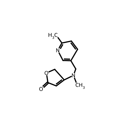 Cc1ccc(CN(C)C2=CC(=O)OC2)cn1